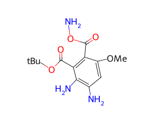 COc1cc(N)c(N)c(C(=O)OC(C)(C)C)c1C(=O)ON